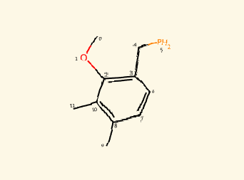 COc1c(CP)ccc(C)c1C